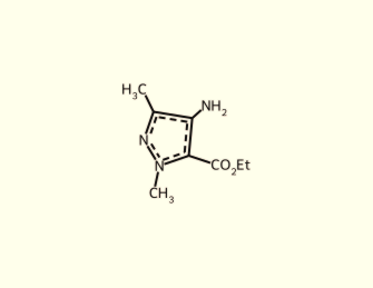 CCOC(=O)c1c(N)c(C)nn1C